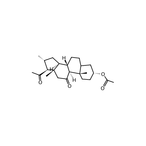 CC(=O)O[C@@H]1CC[C@@]2(C)C(CC[C@H]3[C@@H]4C[C@@H](C)[C@H](C(C)=O)[C@@]4(C)CC(=O)[C@@H]32)C1